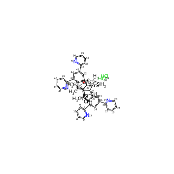 C[Si](C)(C)C1=Cc2c(-c3ccccn3)cc(-c3ccccn3)cc2[CH]1[Zr]([CH3])([CH3])(=[SiH2])[CH]1C([Si](C)(C)C)=Cc2c(-c3ccccn3)cc(-c3ccccn3)cc21.Cl.Cl